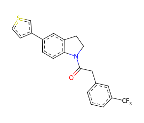 O=C(Cc1cccc(C(F)(F)F)c1)N1CCc2cc(-c3ccsc3)ccc21